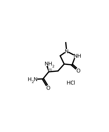 CN1CC(C[C@H](N)C(N)=O)C(=O)N1.Cl